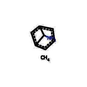 C.NC1c2cccc1c2